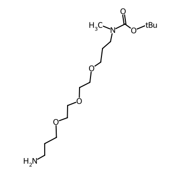 CN(CCCOCCOCCOCCCN)C(=O)OC(C)(C)C